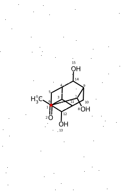 CC(=O)C1C2CC3C(O)C(CC1C3O)C2O